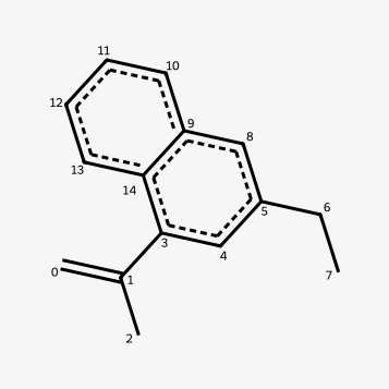 C=C(C)c1cc(CC)cc2ccccc12